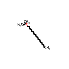 CCCCCCCCCCCCCCCCCCOC(C)CC